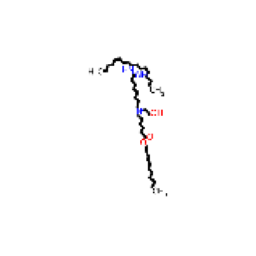 CCCC/C=C\CCC(CC/C=C\CCCC)NC(=N)CCCCCCCN(CCO)CCCCCC(=O)OCCCCCCCCCCC